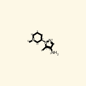 Cc1c(N)cnn1[C@@H]1CCCN(C)C1